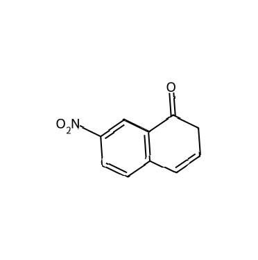 O=C1CC=Cc2ccc([N+](=O)[O-])cc21